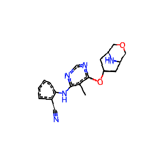 Cc1c(Nc2ccccc2C#N)ncnc1OC1CC2COCC(C1)N2